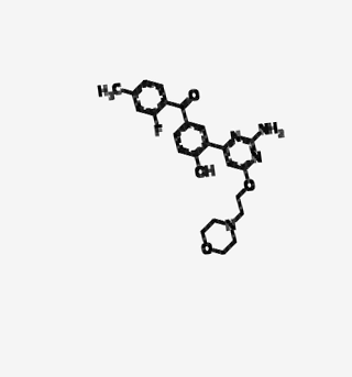 Cc1ccc(C(=O)c2ccc(O)c(-c3cc(OCCN4CCOCC4)nc(N)n3)c2)c(F)c1